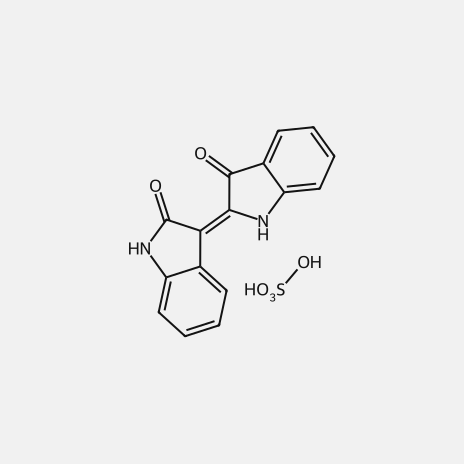 O=C1Nc2ccccc2/C1=C1\Nc2ccccc2C1=O.O=S(=O)(O)O